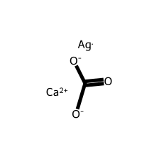 O=C([O-])[O-].[Ag].[Ca+2]